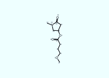 COCCCC(=O)OC1CC(=O)N(C)C1